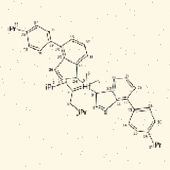 CC(C)C[C](CC(C)C)=[Hf]([CH3])([CH3])([CH]1C=Cc2c(-c3ccc(C(C)C)cc3)cccc21)[CH]1C=Cc2c(-c3ccc(C(C)C)cc3)cccc21